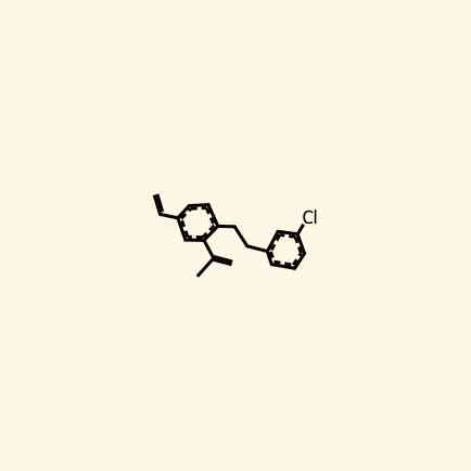 C=Cc1ccc(CCc2cccc(Cl)c2)c(C(=C)C)c1